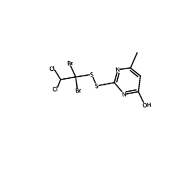 Cc1cc(O)nc(SSC(Br)(Br)C(Cl)Cl)n1